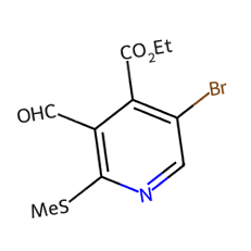 CCOC(=O)c1c(Br)cnc(SC)c1C=O